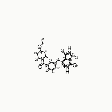 CCOC1CCN(C(=O)c2cccc(Cc3n[nH]c(=O)c4c(C)[nH]c(C)c34)c2)CC1